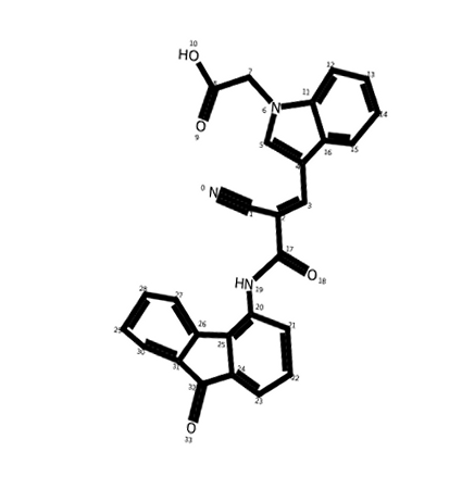 N#C/C(=C\c1cn(CC(=O)O)c2ccccc12)C(=O)Nc1cccc2c1-c1ccccc1C2=O